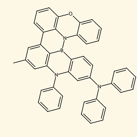 Cc1cc2c3c(c1)N(c1ccccc1)c1cc(N(c4ccccc4)c4ccccc4)ccc1B3N1c3ccccc3Oc3cccc-2c31